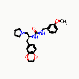 COc1cccc(CNC(=O)N[C@@H](Cc2ccc3c(c2)OCCO3)CN2CCCC2)c1